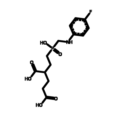 O=C(O)CCC(CCP(=O)(O)CNc1ccc(F)cc1)C(=O)O